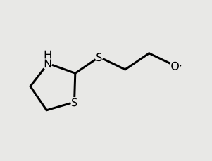 [O]CCSC1NCCS1